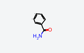 NC(=O)c1c[c][c]cc1